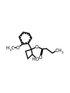 CCCC(=O)OC1(c2ccccc2OC)CCC1O